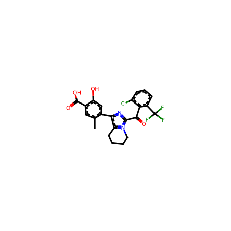 Cc1cc(C(=O)O)c(O)cc1-c1nc(C(=O)c2c(Cl)cccc2C(F)(F)F)n2c1CCCC2